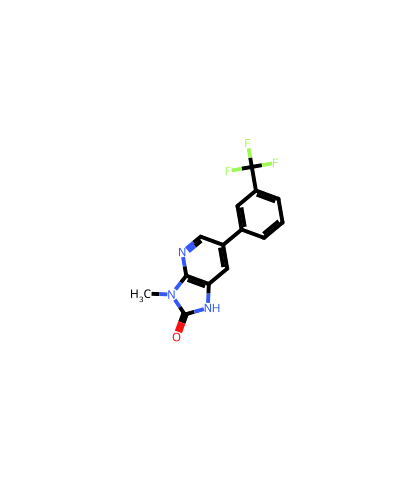 Cn1c(=O)[nH]c2cc(-c3cccc(C(F)(F)F)c3)cnc21